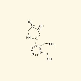 CCc1c(CO)cccc1[C@H]1C[C@H](O)[C@H](O)CN1